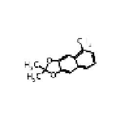 Cc1cccc2cc3c(cc12)OC(C)(C)O3